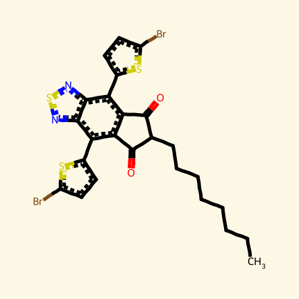 CCCCCCCCC1C(=O)c2c(c(-c3ccc(Br)s3)c3nsnc3c2-c2ccc(Br)s2)C1=O